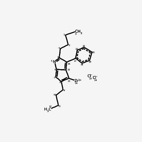 CCCCC1=NC2=CC(CCCC)=[C]([Zr+2])C2=C1c1ccccc1.[Cl-].[Cl-]